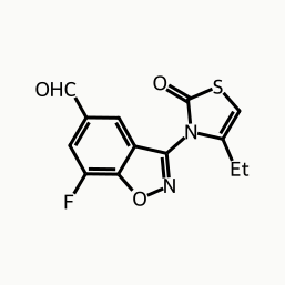 CCc1csc(=O)n1-c1noc2c(F)cc(C=O)cc12